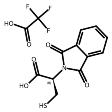 O=C(O)C(F)(F)F.O=C(O)[C@H](CS)N1C(=O)c2ccccc2C1=O